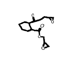 O=C(CCC1CO1)C1CCCCC1C(=O)OCC1CO1